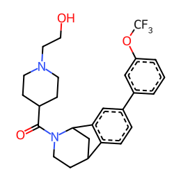 O=C(C1CCN(CCO)CC1)N1CCC2CC1c1cc(-c3cccc(OC(F)(F)F)c3)ccc12